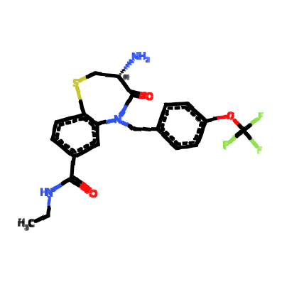 CCNC(=O)c1ccc2c(c1)N(Cc1ccc(OC(F)(F)F)cc1)C(=O)[C@@H](N)CS2